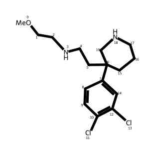 COCCNCCC1(c2ccc(Cl)c(Cl)c2)CCCNC1